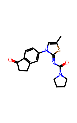 Cc1cn(-c2ccc3c(c2)CCC3=O)c(=NC(=O)N2CCCC2)s1